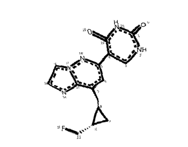 O=c1[nH]cc(-c2cc([C@H]3C[C@@H]3CF)c3nccn3n2)c(=O)[nH]1